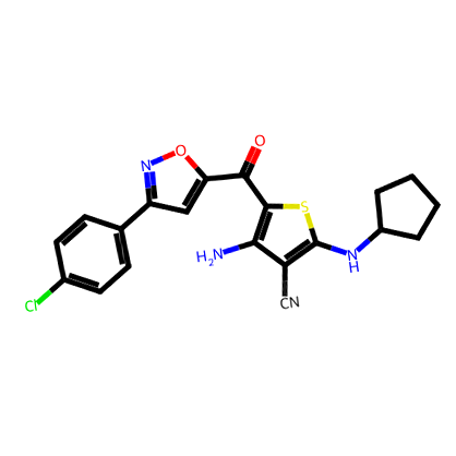 N#Cc1c(NC2CCCC2)sc(C(=O)c2cc(-c3ccc(Cl)cc3)no2)c1N